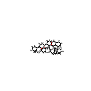 CC(C)(C)c1ccc(N(c2ccccc2-c2ccc(-c3ccccc3)cc2)c2ccccc2-c2cccc3cccc(C45CC6CC7CC(C4)C75C6)c23)cc1